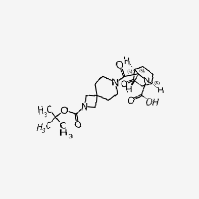 CC(C)(C)OC(=O)N1CC2(CCN(C(=O)[C@@H]3[C@@H]4CC[C@@H](CC4=O)N3C(=O)O)CC2)C1